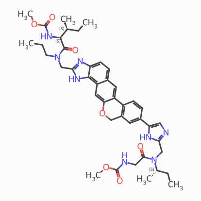 CCCN(Cc1nc2ccc3cc4c(cc3c2[nH]1)OCc1cc(-c2cnc(CN(C(=O)CNC(=O)OC)[C@@H](C)CC)[nH]2)ccc1-4)C(=O)[C@@H](NC(=O)OC)[C@@H](C)CC